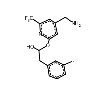 [CH2]c1cccc(CC(O)Oc2cc(CN)cc(C(F)(F)F)n2)c1